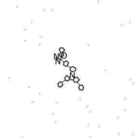 c1ccc(-c2ccc3c(c2)c2cc(-c4ccccc4)ccc2n3-c2cccc(-c3ccc(-c4ncnc5c4oc4ccccc45)cc3)c2)cc1